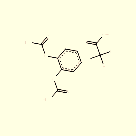 CC(=O)Oc1ccccc1OC(C)=O.O=C(O)C(F)(F)F